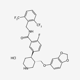 Cl.O=C(NCc1c(C(F)(F)F)cccc1C(F)(F)F)c1cc([C@@H]2CCNC[C@H]2COc2ccc3c(c2)OCO3)ccc1F